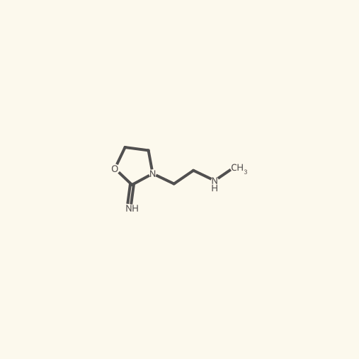 CNCCN1CCOC1=N